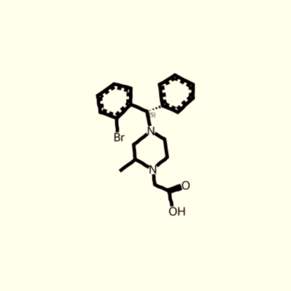 CC1CN([C@@H](c2ccccc2)c2ccccc2Br)CCN1CC(=O)O